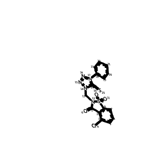 O=C1c2c(Cl)cccc2S(=O)(=O)N1Cn1nnn(-c2ccccc2)c1=S